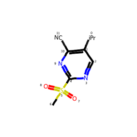 CC(C)c1cnc(S(C)(=O)=O)nc1C#N